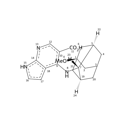 CO[C@]12CC3C[C@H](C1)[C@@H](Nc1c(C(=O)O)cnc4[nH]ccc14)[C@@H](C3)C2